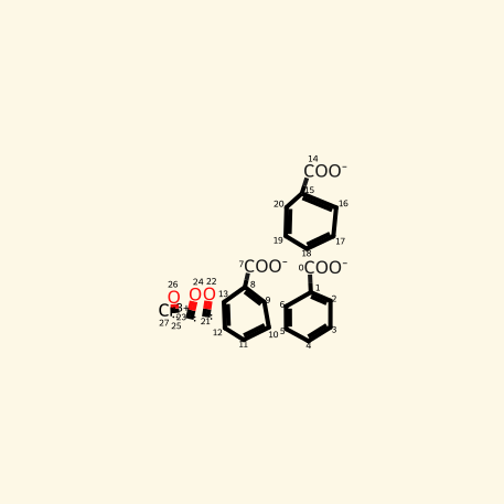 O=C([O-])c1ccccc1.O=C([O-])c1ccccc1.O=C([O-])c1ccccc1.[C]=O.[C]=O.[C]=O.[Cr+3]